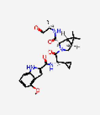 COc1cccc2[nH]c(C(=O)N[C@H](C(=O)N3C[C@H]4[C@@H]([C@H]3C(=O)N[C@@H](C)C=O)C4(C)C)C3CC3)cc12